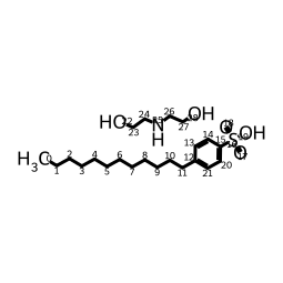 CCCCCCCCCCCCc1ccc(S(=O)(=O)O)cc1.OCCNCCO